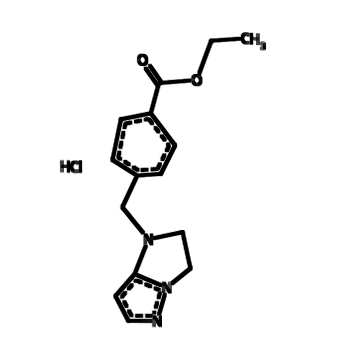 CCOC(=O)c1ccc(CN2CCn3nccc32)cc1.Cl